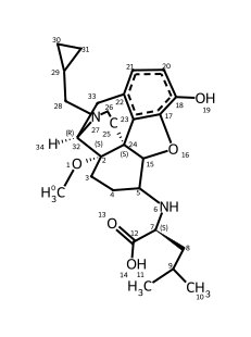 CO[C@@]12CCC(N[C@@H](CC(C)C)C(=O)O)C3Oc4c(O)ccc5c4[C@@]31CCN(CC1CC1)[C@@H]2C5